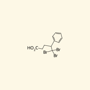 O=C(O)CCC(c1ccccc1)C(Br)(Br)Br